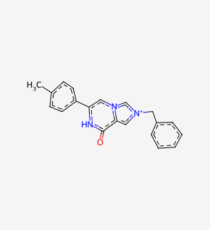 Cc1ccc(-c2cn3c[n+](Cc4ccccc4)cc3c(=O)[nH]2)cc1